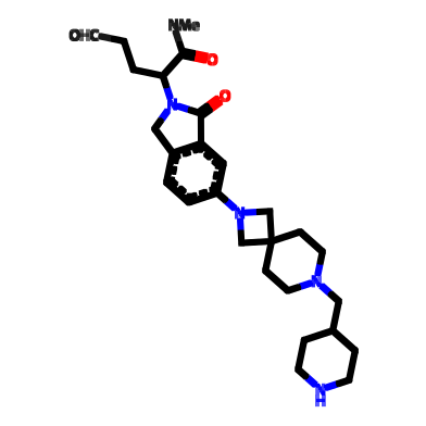 CNC(=O)C(CCC=O)N1Cc2ccc(N3CC4(CCN(CC5CCNCC5)CC4)C3)cc2C1=O